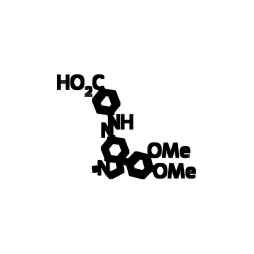 COc1ccc(C23CC/C(=N\Nc4ccc(C(=O)O)cc4)CC2N(C)CC3)cc1OC